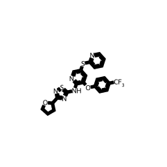 FC(F)(F)c1ccc(Oc2cc(Sc3ccccn3)cnc2Nc2nc(C3CCCO3)ns2)cc1